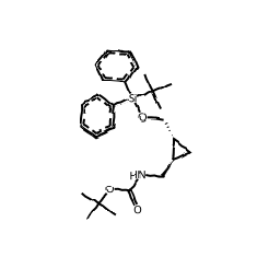 CC(C)(C)OC(=O)NC[C@@H]1C[C@H]1CO[Si](c1ccccc1)(c1ccccc1)C(C)(C)C